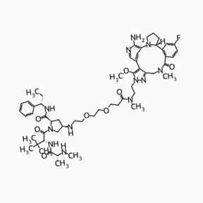 CC[C@H](NC(=O)[C@H]1C[C@@H](NCCOCCOCCC(=O)N(C)CCn2nc3c(c2OC)-c2cnc(N)c(c2)N2CCC[C@@H]2c2cc(F)ccc2C(=O)N(C)C3)CN1C(=O)[C@H](NC(=O)[C@@H](C)NC)C(C)(C)C)c1ccccc1